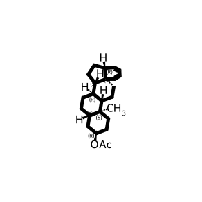 CC(=O)O[C@@H]1CC[C@@]2(C)[C@@H](CC[C@@H]3[C@@H]2CC[C@@]24C=CC=C[C@H]2CC[C@@H]34)C1